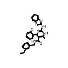 CCc1cccc(CNC(=O)C2=C(C)NC(Nc3nc4ccccc4o3)=NC2c2ccccc2Cl)c1